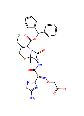 Nc1nc(C(=NOCC(=O)O)C(=O)N[C@@H]2C(=O)N3C(C(=O)OC(c4ccccc4)c4ccccc4)=C(CCl)CS[C@@H]23)ns1